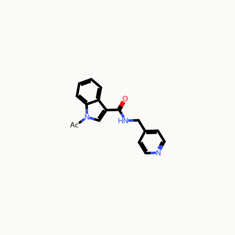 CC(=O)n1cc(C(=O)NCc2ccncc2)c2ccccc21